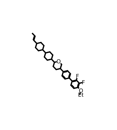 C/C=C/C1CCC(C2CCC(C3CCC(c4ccc(-c5ccc(OCC)c(F)c5F)cc4)CO3)CC2)CC1